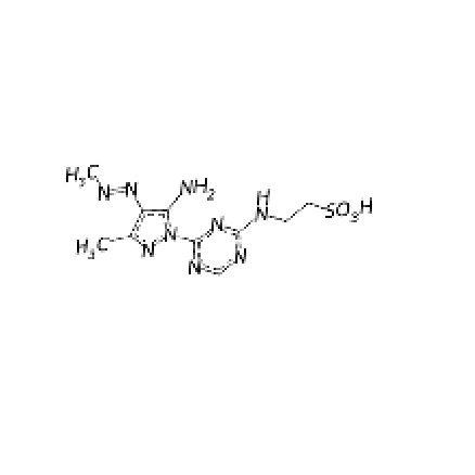 C/N=N/c1c(C)nn(-c2ncnc(NCCS(=O)(=O)O)n2)c1N